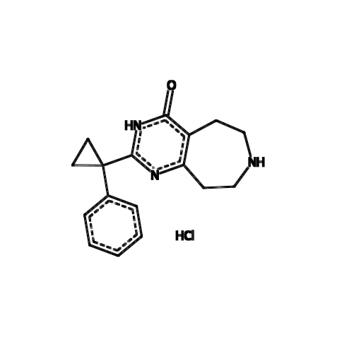 Cl.O=c1[nH]c(C2(c3ccccc3)CC2)nc2c1CCNCC2